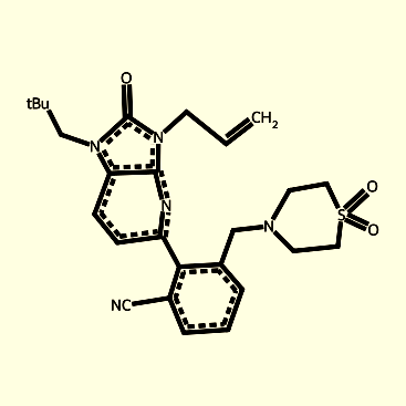 C=CCn1c(=O)n(CC(C)(C)C)c2ccc(-c3c(C#N)cccc3CN3CCS(=O)(=O)CC3)nc21